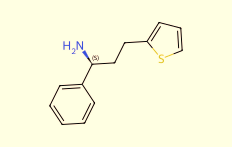 N[C@@H](CCc1cccs1)c1ccccc1